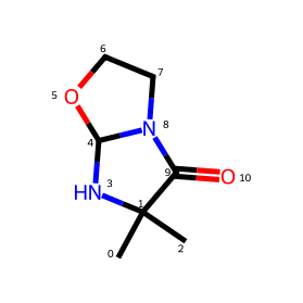 CC1(C)NC2OCCN2C1=O